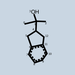 CC(C)(O)C1Cc2ccccc2C1